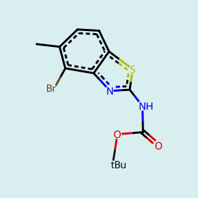 Cc1ccc2sc(NC(=O)OC(C)(C)C)nc2c1Br